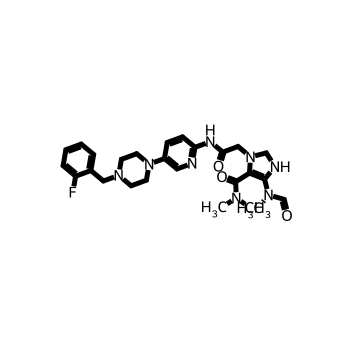 CN(C)C(=O)C1=C(N(C)C=O)NCN1CC(=O)Nc1ccc(N2CCN(Cc3ccccc3F)CC2)cn1